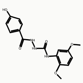 COc1ccc(OC)c(NC(=O)NNC(=O)c2ccc(O)cc2)c1